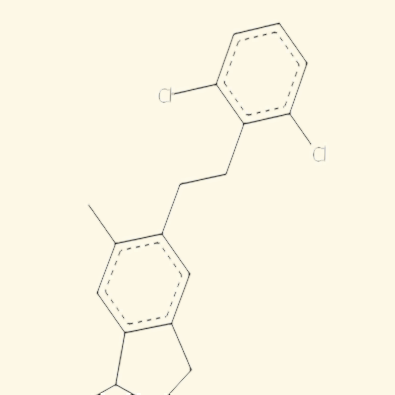 Cc1cc2c(cc1CCc1c(Cl)cccc1Cl)CCC2O